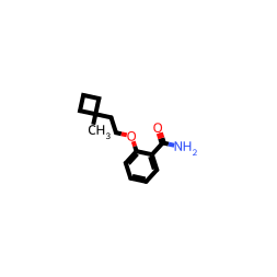 CC1(CCOc2ccccc2C(N)=O)CCC1